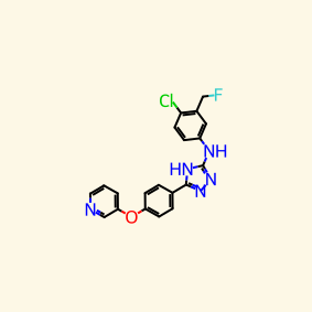 FCc1cc(Nc2nnc(-c3ccc(Oc4cccnc4)cc3)[nH]2)ccc1Cl